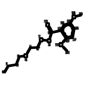 CCCCOC[CH]OOC(=O)c1cc(OC)ccc1OC